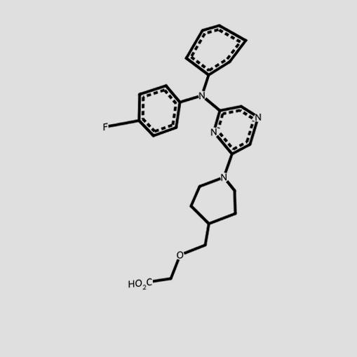 O=C(O)COCC1CCN(c2cncc(N(c3ccccc3)c3ccc(F)cc3)n2)CC1